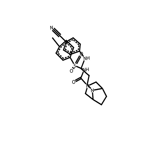 Cc1ccc(S(=O)(=O)NC(=O)N2CC3CCC(C2)N3CCCNc2ccc(C#N)cc2)cc1